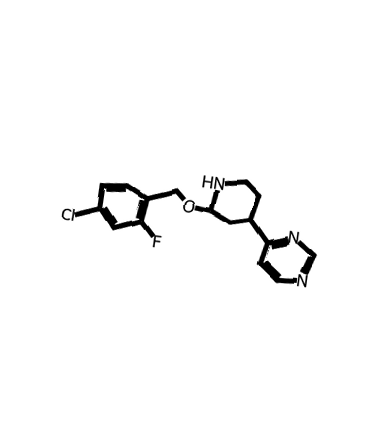 Fc1cc(Cl)ccc1COC1CC(c2ccncn2)CCN1